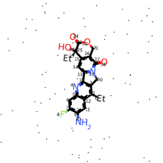 CCc1c2c(nc3cc(F)c(N)cc13)-c1cc3c(c(=O)n1C2)COC(=O)[C@]3(O)CC